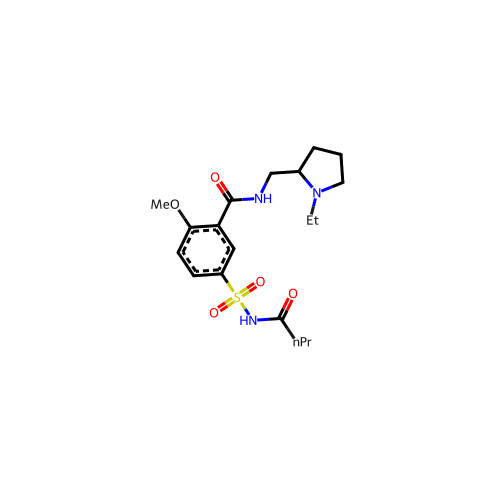 CCCC(=O)NS(=O)(=O)c1ccc(OC)c(C(=O)NCC2CCCN2CC)c1